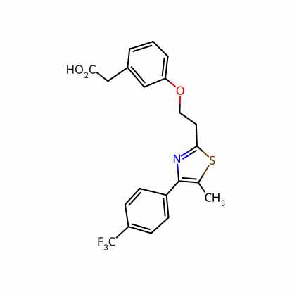 Cc1sc(CCOc2cccc(CC(=O)O)c2)nc1-c1ccc(C(F)(F)F)cc1